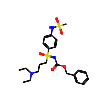 CCN(CC)CCCS(=O)(=NC(=O)OCc1ccccc1)c1ccc(NS(C)(=O)=O)cc1